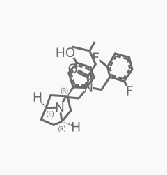 CC(C)CC(=O)N(CCN1[C@@H]2CC[C@H]1C[C@@H](c1cccc(O)c1)C2)Cc1c(F)cccc1F